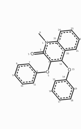 Cn1c(=O)c(Oc2ccccc2)c(Oc2ccccc2)c2ccccc21